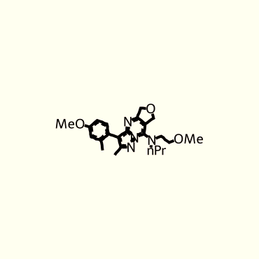 CCCN(CCOC)c1c2c(nc3c(-c4ccc(OC)cc4C)c(C)nn13)COC2